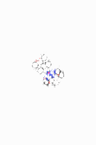 CC1(C)c2ccccc2-c2c(-c3ccccc3)nc(-c3cccc4c3-c3c(-c5nc(-c6ccccc6)nc(-c6ccccc6)n5)cccc3C43c4ccccc4Oc4ccccc43)nc21